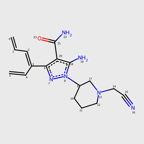 C=C/C=C(\C=C)c1nn(C2CCCN(CC#N)C2)c(N)c1C(N)=O